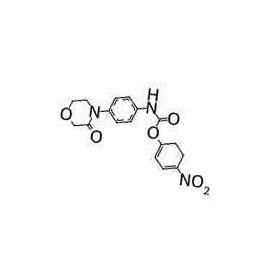 O=C(Nc1ccc(N2CCOCC2=O)cc1)OC1=CC=C([N+](=O)[O-])CC1